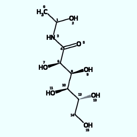 CC(O)NC(=O)[C@H](O)[C@@H](O)[C@H](O)[C@H](O)CO